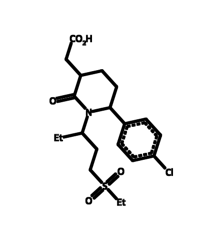 CCC(CCS(=O)(=O)CC)N1C(=O)C(CC(=O)O)CCC1c1ccc(Cl)cc1